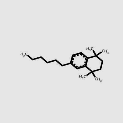 CCCCCCc1ccc2c(c1)C(C)(C)CCC2(C)C